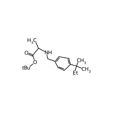 CCC(C)(C)c1ccc(CNC(C)C(=O)OC(C)(C)C)cc1